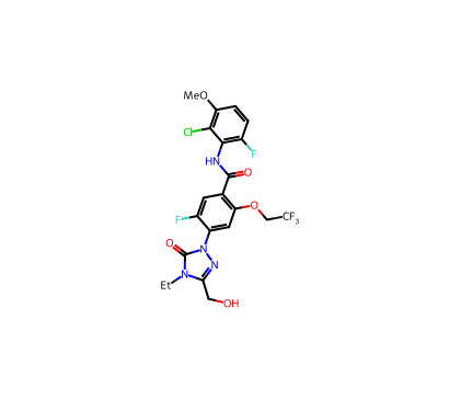 CCn1c(CO)nn(-c2cc(OCC(F)(F)F)c(C(=O)Nc3c(F)ccc(OC)c3Cl)cc2F)c1=O